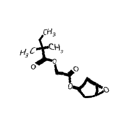 CCC(C)(C)C(=O)OCC(=O)OC1CC2OC2C1